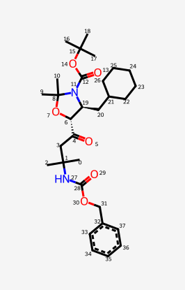 CC(C)(CC(=O)[C@@H]1OC(C)(C)N(C(=O)OC(C)(C)C)[C@H]1CC1CCCCC1)NC(=O)OCc1ccccc1